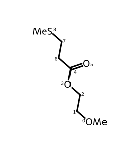 COCCOC(=O)CCSC